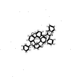 c1ccc(-c2nc3ccccc3nc2-n2c3ccc4oc5ccc6c7c5c4c3c3c4c(ccc32)oc2ccc(c7c24)n6-c2ccccc2)cc1